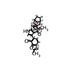 Cc1nc2ccc(-c3c[nH]c4nc(N5C6CCC5CC(N)C6)n(C)c(=O)c34)c(Cl)c2o1